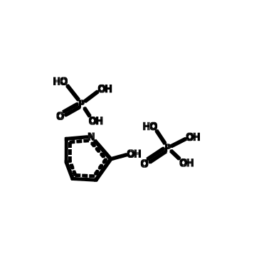 O=P(O)(O)O.O=P(O)(O)O.Oc1ccccn1